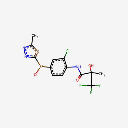 Cc1nnc([S+]([O-])c2ccc(NC(=O)C(C)(O)C(F)(F)F)c(Cl)c2)s1